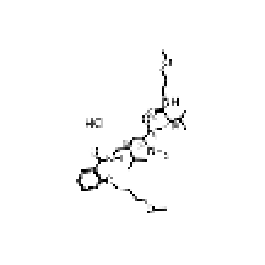 COCCCCOc1ccccc1C(=O)NC[C@@H](C[C@H](N)[C@@H](O)C[C@H](C(=O)NCCCOC)C(C)C)C(C)C.Cl